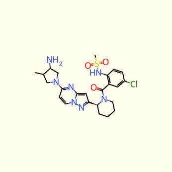 CC1CN(c2ccn3nc([C@@H]4CCCCN4C(=O)c4cc(Cl)ccc4NS(C)(=O)=O)cc3n2)CC1N